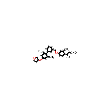 CCC(CC=O)c1ccc(OCc2cccc(-c3c(C)cc(OC4CCOC4)cc3C)c2)cc1C